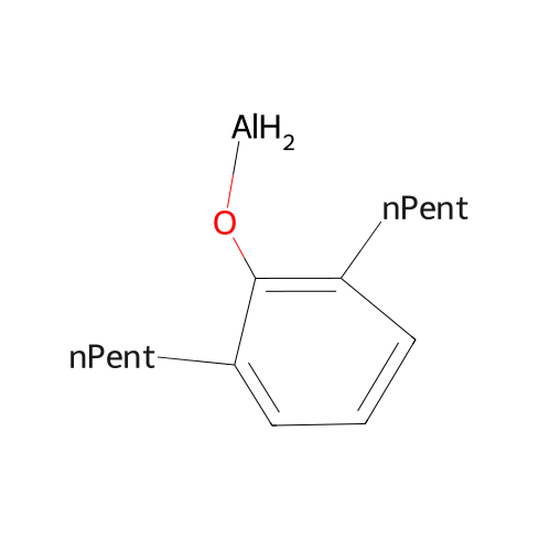 CCCCCc1cccc(CCCCC)c1[O][AlH2]